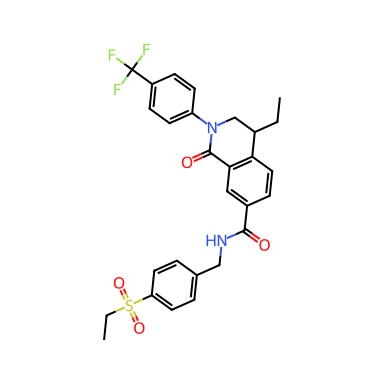 CCC1CN(c2ccc(C(F)(F)F)cc2)C(=O)c2cc(C(=O)NCc3ccc(S(=O)(=O)CC)cc3)ccc21